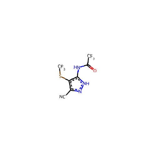 N#Cc1n[nH]c(NC(=O)C(F)(F)F)c1SC(F)(F)F